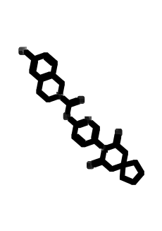 O=C(Oc1ccc(N2C(=O)CC3(CCCC3)CC2=O)cn1)N1CCc2cc(Cl)ccc2C1